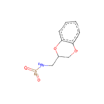 O=[SH](=O)NCC1COc2ccccc2O1